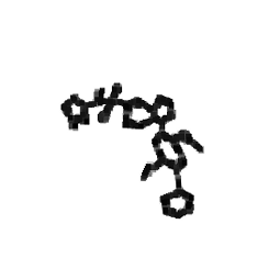 COc1cc(-c2cccnc2)c(F)cc1-c1nccc2cc(S(=O)(=O)Nc3nncs3)ccc12